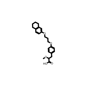 COC(Cc1ccc(OCCCOc2ccc3c(c2)CCCC3)cc1)C(=O)O